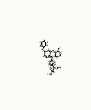 Cc1ncccc1Oc1cc(Sc2ccccn2)cnc1Nc1nc([C@H](O)C(C)(C)O)ns1